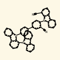 N#Cc1cc(-c2ccc(-n3c4ccccc4c4cccc(-n5c6ccccc6c6ccccc65)c43)cc2)ccc1-n1c2ccccc2c2cccc(C#N)c21